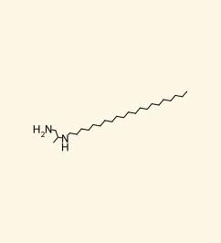 CCCCCCCCCCCCCCCCCCCCCNC(C)CN